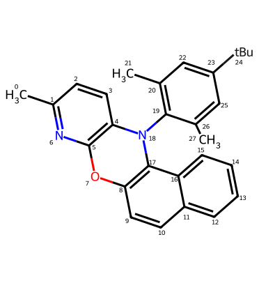 Cc1ccc2c(n1)Oc1ccc3ccccc3c1N2c1c(C)cc(C(C)(C)C)cc1C